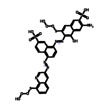 Nc1cc2c(O)c(/N=N/c3ccc(/N=N/c4cnc5c(SOOO)cccc5c4)c4ccc(S(=O)(=O)O)cc34)c(SOOO)cc2cc1S(=O)(=O)O